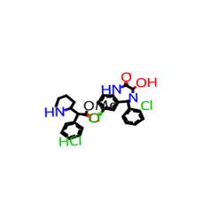 COC(=O)C(c1ccccc1)C1CCCCN1.Cl.O=C1Nc2ccc(Cl)cc2C(c2ccccc2Cl)=NC1O